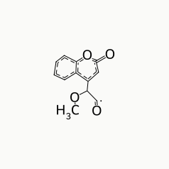 COC([C]=O)c1cc(=O)oc2ccccc12